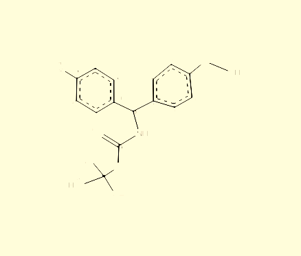 COc1ccc(C(NC(=O)OC(C)(C)C)c2ccc(Br)cc2)cc1